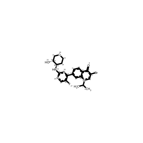 CC(C)n1cc(Br)c(=O)c2ccc(-c3nc(N[C@@H]4CCOC[C@H]4O)ncc3F)cc21